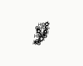 CN(C(=O)c1ccccc1O)c1ccc(C(=O)OC2CCCN(C(=O)OC(C)(C)C)CC2NC(=O)c2ccc(O)cc2)cc1